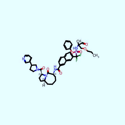 CCCOCC(C)(C=O)NP(=O)(Oc1ccccc1)C(F)(F)c1ccc2ccc(C(=O)N[C@H]3CCCC[C@H]4CC[C@@H](C(=O)N5CCC(c6cccnc6)C5)N4C3=O)cc2c1